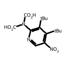 CC(C)(C)c1c([N+](=O)[O-])cnc(N(C(=O)O)C(=O)O)c1C(C)(C)C